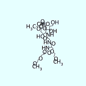 COCCOCCOC(=O)NC(COCCOC)C(=O)NCC(=O)NC1C(O)CC(OC=O)(OC(C)C)OC1C(O)C(O)CO